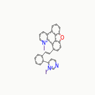 I[n+]1cnccc1-c1ccccc1/C=C/c1ccc2oc3cccc4c5ccc[n+](I)c5c1c2c34